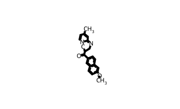 COc1ccc2cc(C(=O)C3CN=C4C=C(C)C=CN4C3)ccc2c1